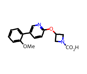 COc1ccccc1-c1ccc(OC2CN(C(=O)O)C2)nc1